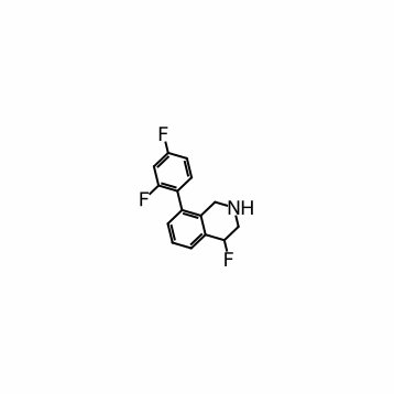 Fc1ccc(-c2cccc3c2CNCC3F)c(F)c1